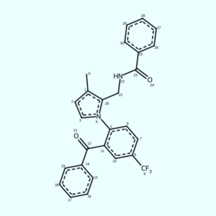 Cc1ccn(-c2ccc(C(F)(F)F)cc2C(=O)c2ccccc2)c1CNC(=O)c1ccccc1